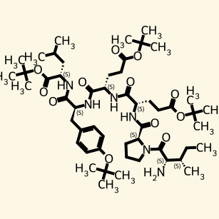 CC[C@H](C)[C@H](N)C(=O)N1CCC[C@H]1C(=O)N[C@@H](CCC(=O)OC(C)(C)C)C(=O)N[C@@H](CCC(=O)OC(C)(C)C)C(=O)N[C@@H](Cc1ccc(OC(C)(C)C)cc1)C(=O)N[C@@H](CC(C)C)C(=O)OC(C)(C)C